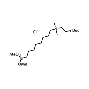 CCCCCCCCCCCC[N+](C)(C)CCCCCCCC[SiH](OC)OC.[Cl-]